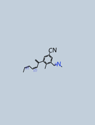 C=C(/C=C\C=C/C)c1cc(C#N)cc(/C=N/C)c1C